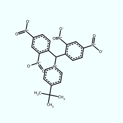 CC(C)(C)c1cc[n+](C(c2ccc([N+](=O)[O-])cc2[N+](=O)[O-])c2ccc([N+](=O)[O-])cc2[N+](=O)[O-])cc1